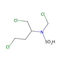 O=S(=O)(O)N(CCl)C(CCl)CCCl